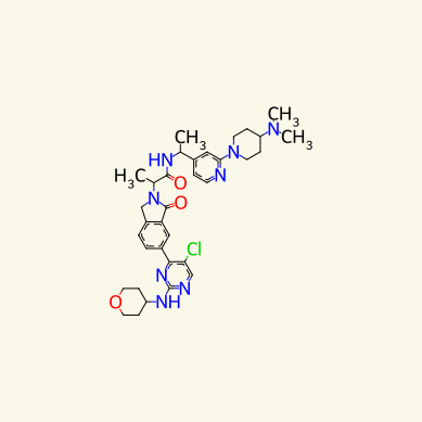 CC(NC(=O)C(C)N1Cc2ccc(-c3nc(NC4CCOCC4)ncc3Cl)cc2C1=O)c1ccnc(N2CCC(N(C)C)CC2)c1